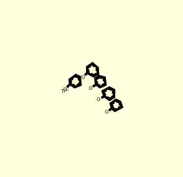 Oc1ccccc1.[O-]c1ccccc1.[O-]c1ccccc1.[O-]c1ccccc1.[O-]c1ccccc1.[Ti+4]